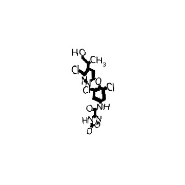 CC(CO)c1cc(Oc2c(Cl)cc(NC(=O)c3noc(=O)[nH]3)cc2Cl)nnc1Cl